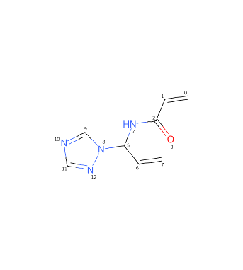 C=CC(=O)NC(C=C)n1cncn1